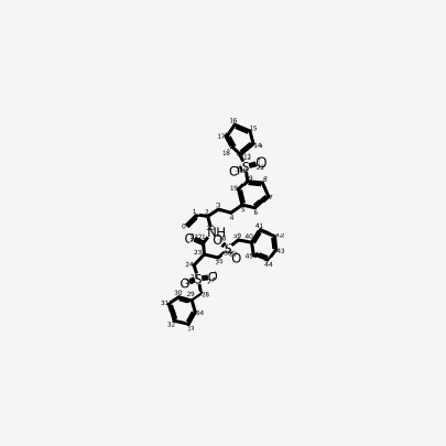 C=CC(CCc1cccc(S(=O)(=O)c2ccccc2)c1)NC(=O)C(CS(=O)(=O)Cc1ccccc1)CS(=O)(=O)Cc1ccccc1